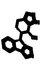 O[C@@H]1c2[nH]ncc2CC[C@H]1[C@H]1c2ccccc2-c2cncn21